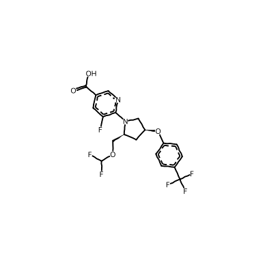 O=C(O)c1cnc(N2C[C@@H](Oc3ccc(C(F)(F)F)cc3)C[C@H]2COC(F)F)c(F)c1